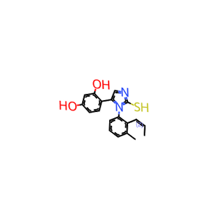 C/C=C\c1c(C)cccc1-n1c(-c2ccc(O)cc2O)cnc1S